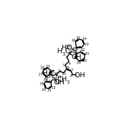 CC(C)(CCC/C(=C/CO)CCC(C)(C)[Si](O)(c1ccccc1)c1ccccc1)[Si](O)(c1ccccc1)c1ccccc1